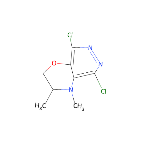 CC1COc2c(Cl)nnc(Cl)c2N1C